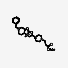 COC(=O)CCN1CCN(C2C[N+](C)(C3CCN(Cc4ccccc4)CC3)C(=O)O2)CC1